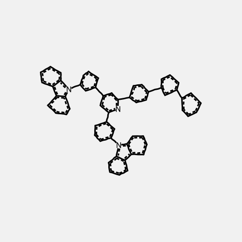 c1ccc(-c2cccc(-c3ccc(-c4cc(-c5cccc(-n6c7ccccc7c7ccccc76)c5)cc(-c5cccc(-n6c7ccccc7c7ccccc76)c5)n4)cc3)c2)cc1